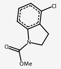 COC(=O)N1CCc2c(Cl)cccc21